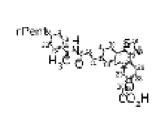 CCCCCc1ccc(C(C)NC(=O)C=Cc2ccc(-c3scnc3-c3ccc(OCC(=O)O)cc3)cc2)cc1